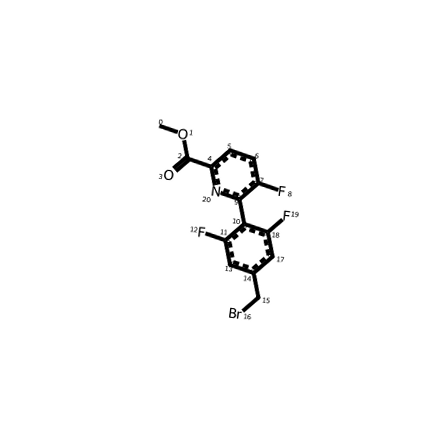 COC(=O)c1ccc(F)c(-c2c(F)cc(CBr)cc2F)n1